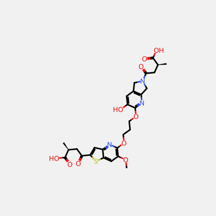 COc1cc2sc(C(=O)C[C@H](C)C(=O)O)cc2nc1OCCCOc1nc2c(cc1O)CN(C(=O)C[C@H](C)C(=O)O)C2